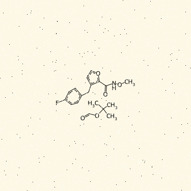 CC(C)(C)OC=O.CONC(=O)c1occc1Cc1ccc(F)cc1